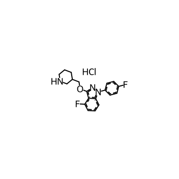 Cl.Fc1ccc(-n2nc(OCC3CCCNC3)c3c(F)cccc32)cc1